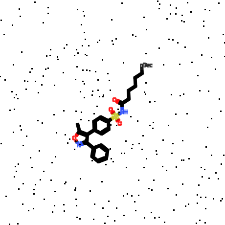 CCCCCCCCCCCCCCCC(=O)NS(=O)(=O)c1ccc(-c2c(-c3ccccc3)noc2C)cc1